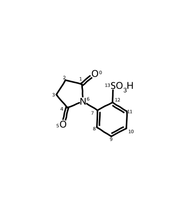 O=C1CCC(=O)N1c1ccccc1S(=O)(=O)O